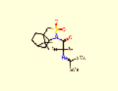 [2H]C([2H])(N=C(SC)SC)C(=O)N1C2CC3CCC2(CS1(=O)=O)C3(C)C